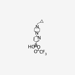 O=C(OB(O)c1ccc(N2CCN(CC3CC3)CC2)nc1)C(F)(F)F